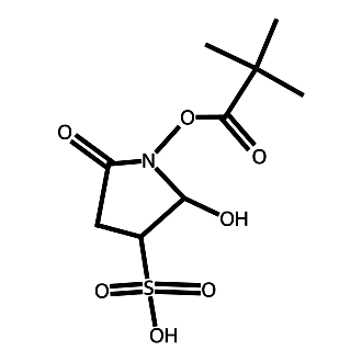 CC(C)(C)C(=O)ON1C(=O)CC(S(=O)(=O)O)C1O